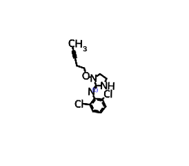 CC#CCCON1CCN/C1=N\c1c(Cl)cccc1Cl